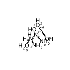 NN.NN.O.O.O=S(=O)(O)O